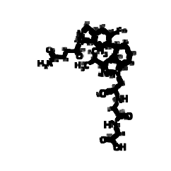 CC(C)c1nn(CC(=O)NCC(=O)NCC(=O)O)c2cccc(-c3cc4c(cnn4C(=O)CCC(N)=O)cc3F)c12